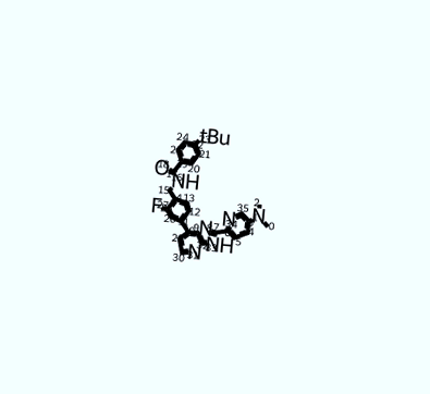 CN(C)c1ccc(-c2nc3c(-c4ccc(CNC(=O)c5ccc(C(C)(C)C)cc5)c(F)c4)ccnc3[nH]2)nc1